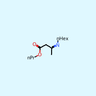 CCCCCCN=C(C)CC(=O)OCCC